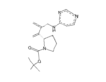 C=C(CNc1ccncn1)C(=C)[C@@H]1CCCN1C(=O)OC(C)(C)C